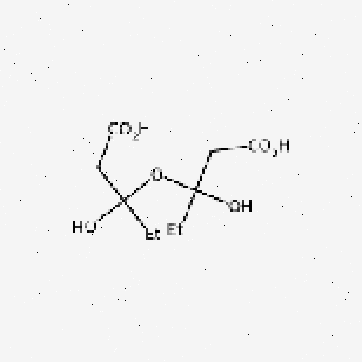 CCC(O)(CC(=O)O)OC(O)(CC)CC(=O)O